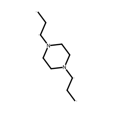 [CH2]C[CH]N1CCN([CH]C[CH2])CC1